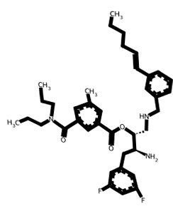 CCCC/C=C/c1cccc(CNC[C@@H](OC(=O)c2cc(C)cc(C(=O)N(CCC)CCC)c2)[C@@H](N)Cc2cc(F)cc(F)c2)c1